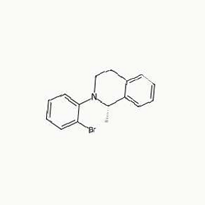 C[C@H]1c2ccccc2CCN1c1ccccc1Br